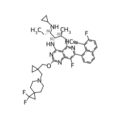 C#Cc1c(F)ccc2cccc(-c3nc4c5c(nc(OCC6(CN7CCC8(CC7)CC8(F)F)CC6)nc5c3F)N[C@H]([C@H](CC)NC3CC3)[C@@H](C)C4)c12